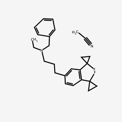 CC#N.CCN(CCCc1ccc(C2(F)CC2)c(C2(F)CC2)c1)Cc1ccccc1